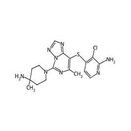 Cc1nc(N2CCC(C)(N)CC2)n2ncnc2c1Sc1ccnc(N)c1Cl